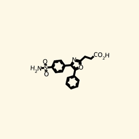 NS(=O)(=O)c1ccc(-c2nc(CCC(=O)O)oc2-c2ccccc2)cc1